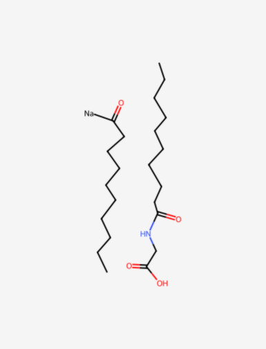 CCCCCCCCCC(=O)NCC(=O)O.CCCCCCCCC[C](=O)[Na]